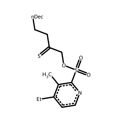 CCCCCCCCCCCCC(=S)COS(=O)(=O)c1nccc(CC)c1C